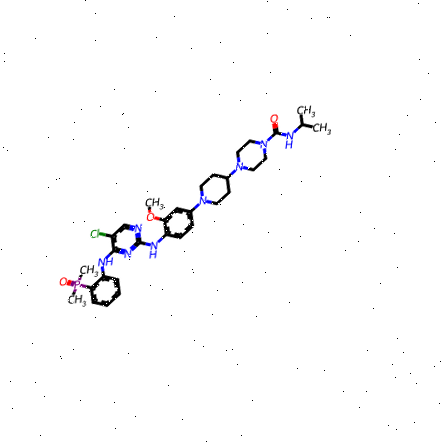 COc1cc(N2CCC(N3CCN(C(=O)NC(C)C)CC3)CC2)ccc1Nc1ncc(Cl)c(Nc2ccccc2P(C)(C)=O)n1